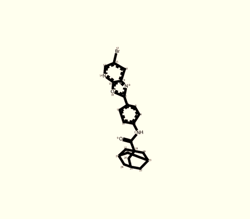 O=C(Nc1ccc(-c2nc3cc(Br)cnc3o2)cc1)C12CC3CC(CC(C3)C1)C2